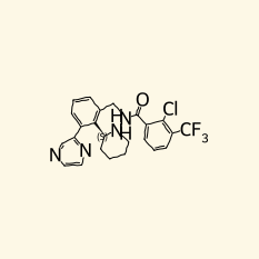 O=C(NCc1cccc(-c2cnccn2)c1[C@@H]1CCCCN1)c1cccc(C(F)(F)F)c1Cl